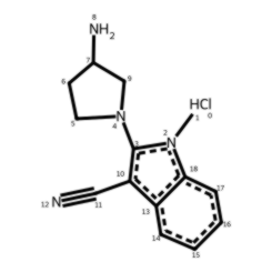 Cl.Cn1c(N2CCC(N)C2)c(C#N)c2ccccc21